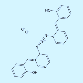 Oc1ccccc1C=C1C=CC=CC1[N]=[Ti+2]=[N]C1C=CC=CC1=Cc1ccccc1O.[Cl-].[Cl-]